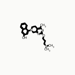 Cc1nc(OCCCN(C)C)nc2c1CCN(c1cc(O)cc3ccccc13)C2